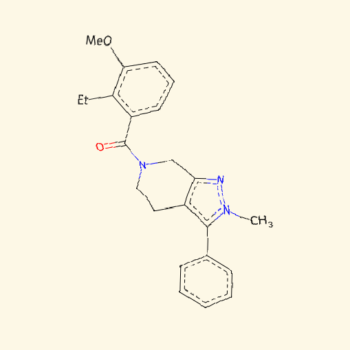 CCc1c(OC)cccc1C(=O)N1CCc2c(nn(C)c2-c2ccccc2)C1